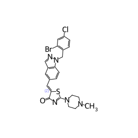 CN1CCN(C2=NC(=O)/C(=C/c3ccc4c(cnn4Cc4ccc(Cl)cc4Br)c3)S2)CC1